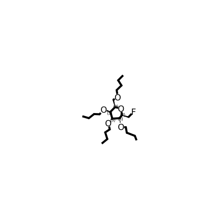 CCCCOC[C@H]1O[C@@H](CF)[C@H](OCCCC)[C@@H](OCCCC)[C@H]1OCCCC